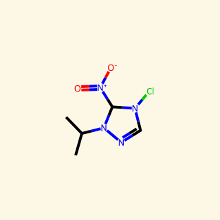 CC(C)N1N=CN(Cl)C1[N+](=O)[O-]